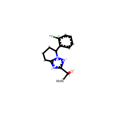 CNC(=O)c1nc2n(n1)C(c1ccccc1F)CCC2